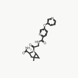 CC12CC(C(N)=O)N(C(=O)CNC(=O)c3ccc(Oc4cccnc4)cn3)C1C2